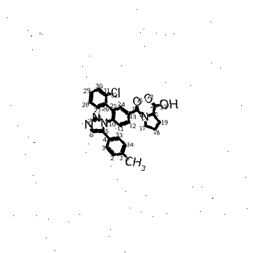 Cc1ccc(-c2cnnn2-c2ccc(C(=O)N3CCCC3C(=O)O)cc2-c2ccccc2Cl)cc1